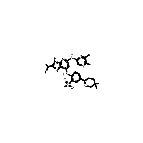 Cc1ncc(Nc2cc(Nc3ccc(C4CCC(C)(C)CO4)cc3S(C)(=O)=O)c3nc(C(F)F)[nH]c3n2)nc1C